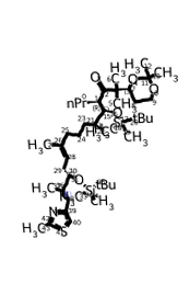 CCC[C@@H](C(=O)C(C)(C)[C@@H]1CCOC(C)(C)O1)[C@@H](O[Si](C)(C)C(C)(C)C)[C@@H](C)CCCC(C)=CC[C@H](O[Si](C)(C)C(C)(C)C)/C(C)=C/c1csc(C)n1